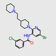 O=C(Nc1cc(Br)cnc1N1CCC(CCN2CCCCC2)CC1)c1cccc(Cl)c1